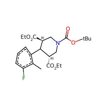 CCOC(=O)[C@H]1CN(C(=O)OC(C)(C)C)C[C@H](C(=O)OCC)C1c1cccc(F)c1C